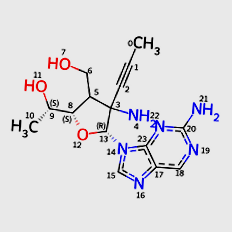 CC#CC1(N)C(CO)[C@@H]([C@H](C)O)O[C@H]1n1cnc2cnc(N)nc21